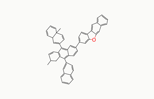 CC1C=Cc2c(c(-c3ccc4ccccc4c3)c3ccc(-c4ccc5c(c4)oc4cc6ccccc6cc45)cc3c2C2=CC3C=CC=CC3(C)C=C2)C1